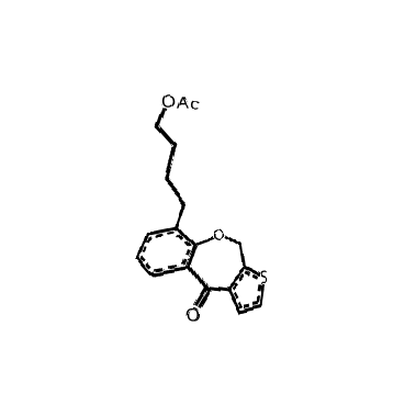 CC(=O)OCCCCc1cccc2c1OCc1sccc1C2=O